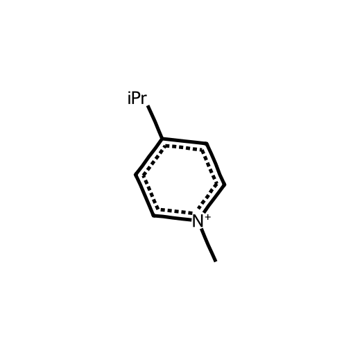 CC(C)c1cc[n+](C)cc1